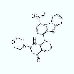 O=c1cc(N2CCOCC2)[nH]c2c(-c3ccc([N+](=O)[O-])c4c3sc3ccccc34)cccc12